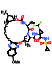 CC[C@@H]1[C@@H]2CN(C(=O)[C@H](C(C)(C)C)NC(=O)O[C@@H]3C[C@H](C)C[C@H]3CCCCCc3nc4ccc(OC)cc4nc3O2)[C@@H]1C(=O)N[C@]1(C(=O)NS(=O)(=O)C2CC2)C[C@H]1C(F)F